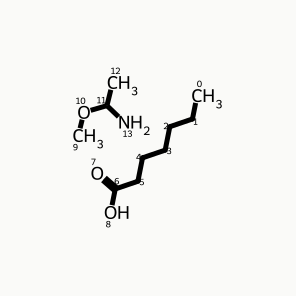 CCCCCCC(=O)O.COC(C)N